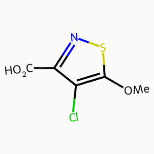 COc1snc(C(=O)O)c1Cl